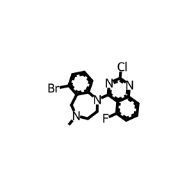 CN1CCN(c2nc(Cl)nc3cccc(F)c23)c2cccc(Br)c2C1